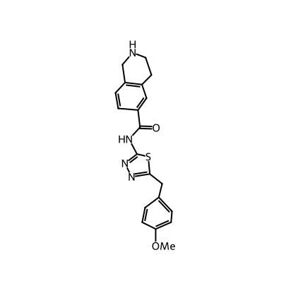 COc1ccc(Cc2nnc(NC(=O)c3ccc4c(c3)CCNC4)s2)cc1